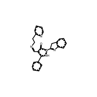 O=c1c(/C=N\CCc2ccccn2)c(-c2ccccc2)[nH]n1C1=Nc2ccccc2C1